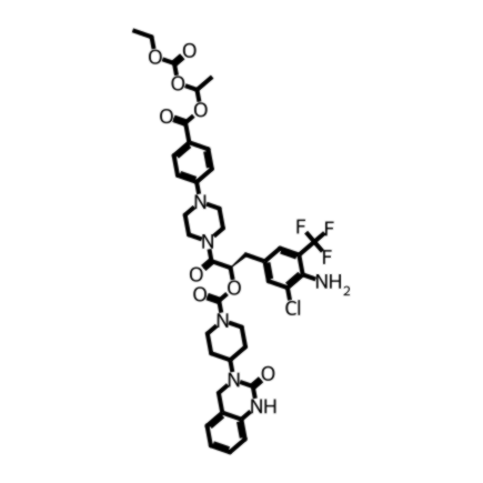 CCOC(=O)OC(C)OC(=O)c1ccc(N2CCN(C(=O)[C@@H](Cc3cc(Cl)c(N)c(C(F)(F)F)c3)OC(=O)N3CCC(N4Cc5ccccc5NC4=O)CC3)CC2)cc1